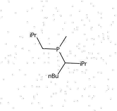 CCCCC(C(C)C)P(C)CC(C)C